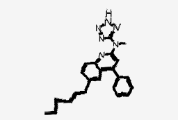 CCCCCCc1ccc2nc(N(C)c3nn[nH]n3)cc(-c3ccccc3)c2c1